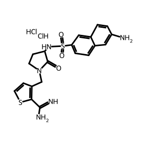 Cl.Cl.N=C(N)c1sccc1CN1CCC(NS(=O)(=O)c2ccc3cc(N)ccc3c2)C1=O